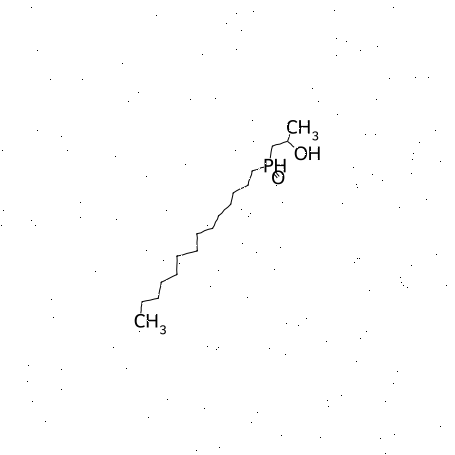 CCCCCCCCCCCCCC[PH](=O)CC(C)O